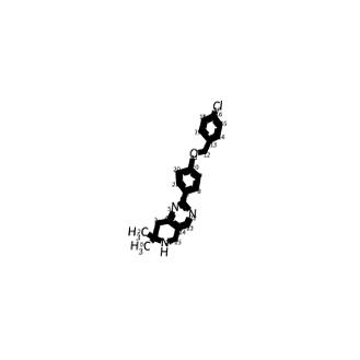 CC1(C)Cc2nc(-c3ccc(OCc4ccc(Cl)cc4)cc3)ncc2CN1